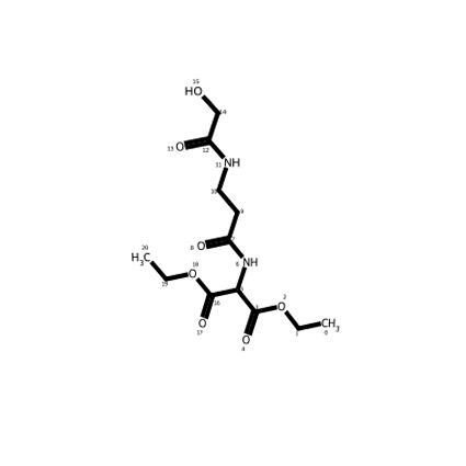 CCOC(=O)C(NC(=O)CCNC(=O)CO)C(=O)OCC